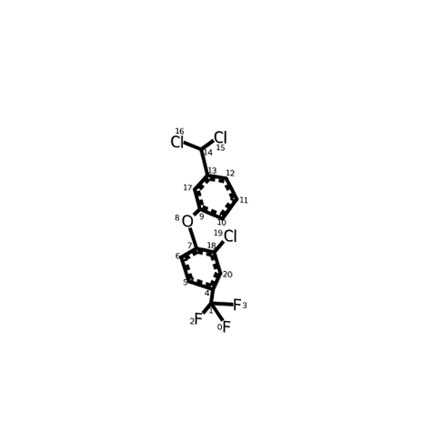 FC(F)(F)c1ccc(Oc2cccc(C(Cl)Cl)c2)c(Cl)c1